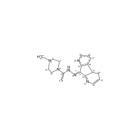 CN1CCN(C(=S)N/N=C2/C3=NC=CCC3c3cccnc32)CC1